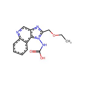 CCOCc1nc2cnc3ccccc3c2n1NC(=O)O